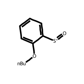 CCCCOc1ccccc1[S+]=O